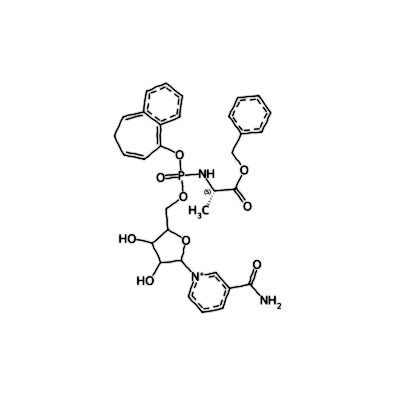 C[C@H](NP(=O)(OCC1OC([n+]2cccc(C(N)=O)c2)C(O)C1O)OC1=c2ccccc2=CCC=C1)C(=O)OCc1ccccc1